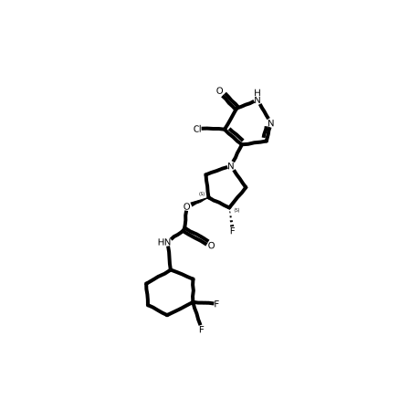 O=C(NC1CCCC(F)(F)C1)O[C@H]1CN(c2cn[nH]c(=O)c2Cl)C[C@@H]1F